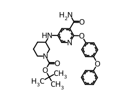 CC(C)(C)OC(=O)N1CCCC(Nc2cnc(Oc3ccc(Oc4ccccc4)cc3)c(C(N)=O)c2)C1